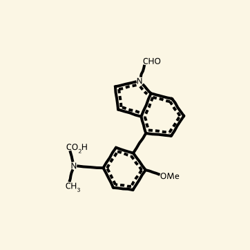 COc1ccc(N(C)C(=O)O)cc1-c1cccc2c1ccn2C=O